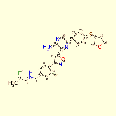 CC(F)CNCc1ccc(-c2cc(-c3nc(-c4ccc(SC5CCOC5)cc4)cnc3N)on2)c(F)c1